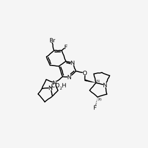 O=C(O)N1C2CCC1CN(c1nc(OC[C@@]34CCCN3C[C@H](F)C4)nc3c(F)c(Br)ccc13)C2